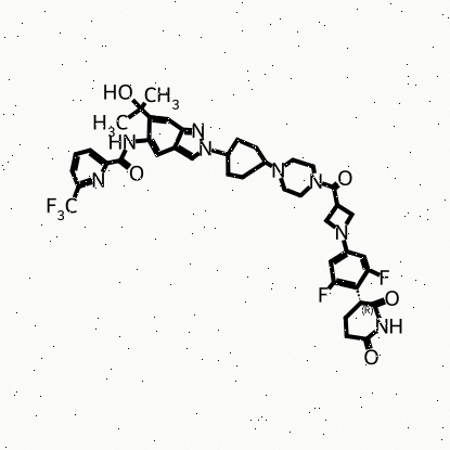 CC(C)(O)c1cc2nn(C3CCC(N4CCN(C(=O)C5CN(c6cc(F)c([C@H]7CCC(=O)NC7=O)c(F)c6)C5)CC4)CC3)cc2cc1NC(=O)c1cccc(C(F)(F)F)n1